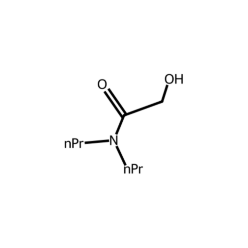 CCCN(CCC)C(=O)CO